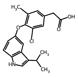 Cc1cc(CC(=O)O)cc(Cl)c1Oc1ccc2[nH]cc(C(C)C)c2c1